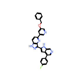 Fc1ccc(-c2cncc3[nH]c(-c4n[nH]c5ccc(-c6cncc(OCc7ccccc7)c6)nc45)cc23)cc1